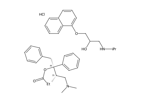 CC(C)NCC(O)COc1cccc2ccccc12.CCC(=O)O[C@@](Cc1ccccc1)(c1ccccc1)[C@@H](C)CN(C)C.Cl